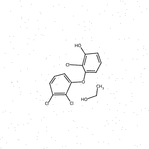 CCO.Oc1cccc(Oc2cccc(Cl)c2Cl)c1Cl